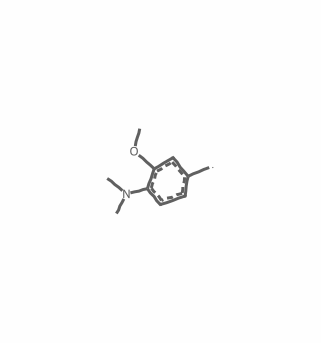 [CH2]c1ccc(N(C)C)c(OC)c1